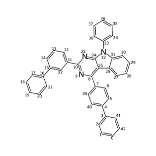 c1ccc(-c2ccc(-c3nc(-c4cccc(-c5ccccc5)c4)nc4c3c3ccccc3n4-c3ccccc3)cc2)cc1